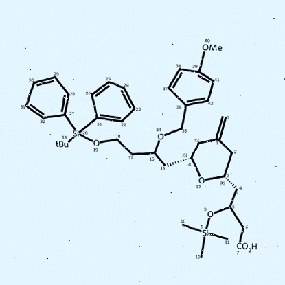 C=C1C[C@H](CC(CC(=O)O)O[Si](C)(C)C)O[C@H](CC(CCO[Si](c2ccccc2)(c2ccccc2)C(C)(C)C)OCc2ccc(OC)cc2)C1